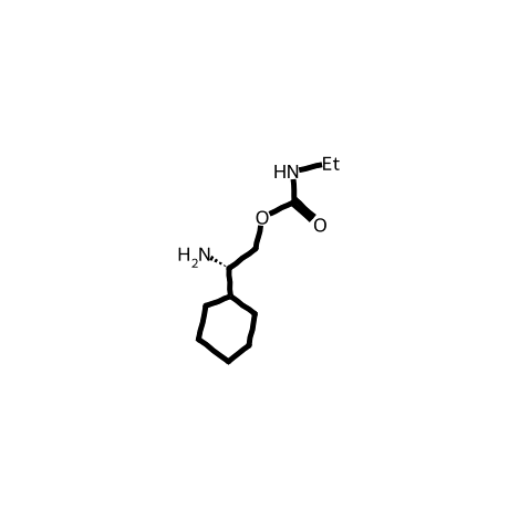 CCNC(=O)OC[C@@H](N)C1CCCCC1